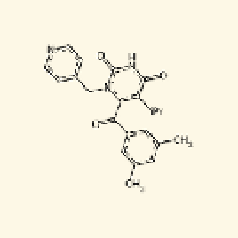 Cc1cc(C)cc(C(=O)c2c(C(C)C)c(=O)[nH]c(=O)n2Cc2ccncc2)c1